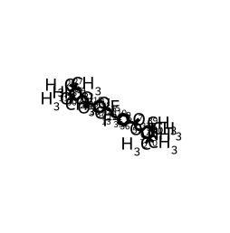 CC1(C)CC(OC(=O)c2ccc(/C(F)=C(\F)C3OCC(C(=O)OC4CC(C)(C)NC(C)(C)C4)CO3)cc2)CC(C)(C)N1